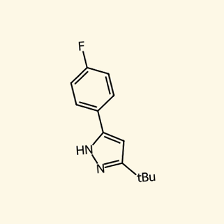 CC(C)(C)c1cc(-c2ccc(F)cc2)[nH]n1